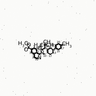 COC(=O)c1ccc2c(N(C[C@H]3CC[C@H](c4ccc(C)cc4)CC3)C(=O)CC(C)(C)C)nccc2c1